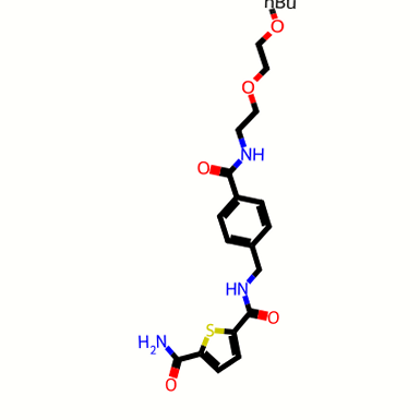 CCCCOCCOCCNC(=O)c1ccc(CNC(=O)c2ccc(C(N)=O)s2)cc1